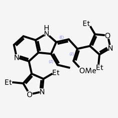 C\C=c1/c(=C\C(=C\OC)c2c(CC)noc2CC)[nH]c2ccnc(-c3c(CC)noc3CC)c12